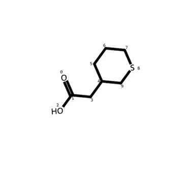 O=C(O)CC1CCCSC1